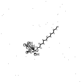 CCCCCCCCCCCCCOP(=O)(O)OP(=O)(O)OP(=O)(O)O